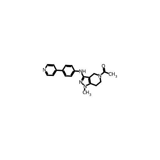 CC(=O)N1CCc2c(c(Nc3ccc(-c4ccncc4)cc3)nn2C)C1